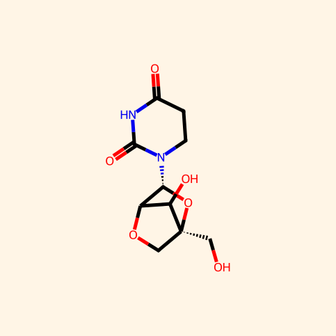 O=C1CCN([C@@H]2O[C@@]3(CO)COC2C3O)C(=O)N1